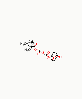 CCC(C)(CC(C)C)C(=O)OCC(=O)OCC(=O)OC1C2CC3CC(C2)C(=O)OC1C3